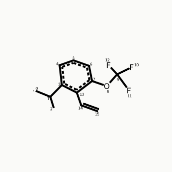 [CH2]C(C)c1cccc(OC(F)(F)F)c1C=C